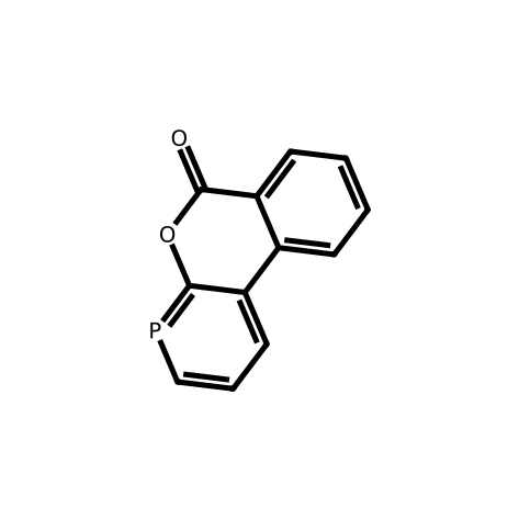 O=c1oc2pcccc2c2ccccc12